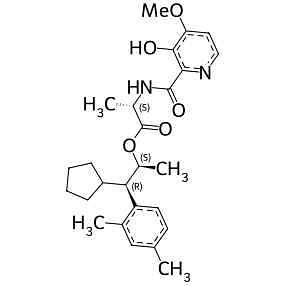 COc1ccnc(C(=O)N[C@@H](C)C(=O)O[C@@H](C)[C@@H](c2ccc(C)cc2C)C2CCCC2)c1O